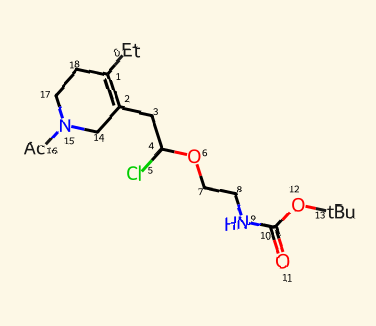 CCC1=C(CC(Cl)OCCNC(=O)OC(C)(C)C)CN(C(C)=O)CC1